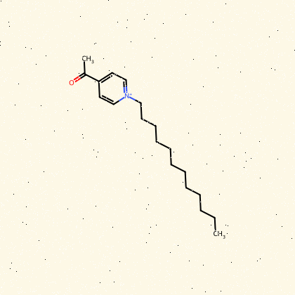 CCCCCCCCCCCC[n+]1ccc(C(C)=O)cc1